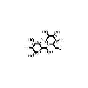 OCC1O[C@H](O)C(O)[C@H](O)[C@@H]1O[C@H]1OC(CO)[C@H](O)[C@@H](O)C1O